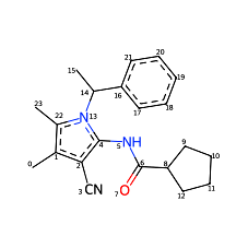 Cc1c(C#N)c(NC(=O)C2CCCC2)n(C(C)c2ccccc2)c1C